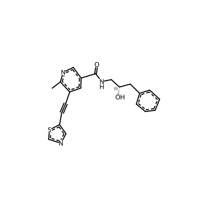 Cc1ncc(C(=O)NC[C@@H](O)Cc2ccccc2)cc1C#Cc1cncs1